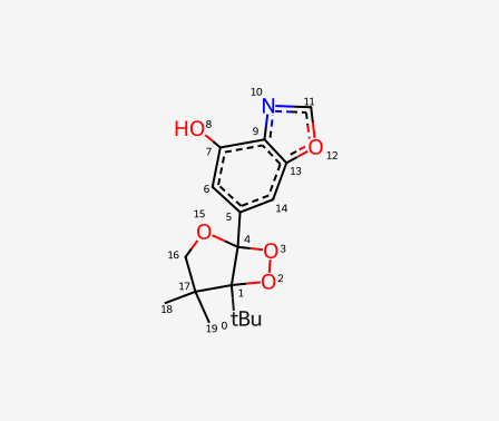 CC(C)(C)C12OOC1(c1cc(O)c3ncoc3c1)OCC2(C)C